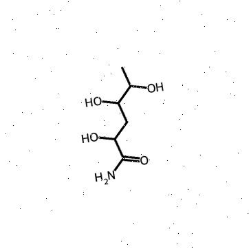 CC(O)C(O)CC(O)C(N)=O